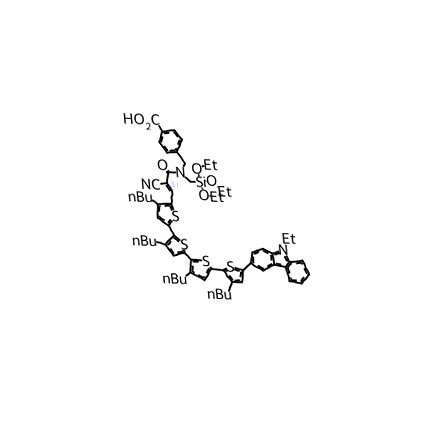 CCCCc1cc(-c2sc(-c3sc(-c4sc(-c5ccc6c(c5)c5ccccc5n6CC)cc4CCCC)cc3CCCC)cc2CCCC)sc1/C=C(\C#N)C(=O)N(Cc1ccc(C(=O)O)cc1)C[Si](OCC)(OCC)OCC